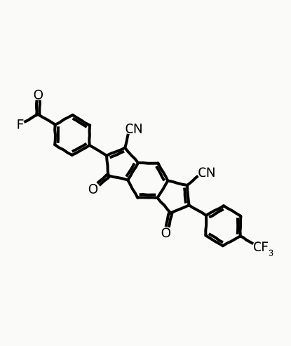 N#Cc1c(-c2ccc(C(=O)F)cc2)c(=O)c2cc3c(=O)c(-c4ccc(C(F)(F)F)cc4)c(C#N)c3cc12